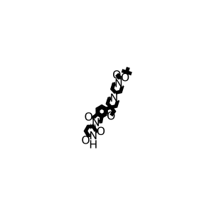 CC(C)(C)OC(=O)N1CCC(N2CCC3(CC2)COc2c3ccc3c2CN([C@H]2CCC(=O)NC2=O)C3=O)CC1